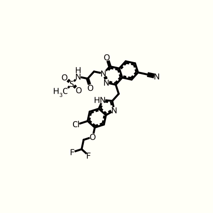 CS(=O)(=O)NC(=O)Cn1nc(Cc2nc3cc(OCC(F)F)c(Cl)cc3[nH]2)c2cc(C#N)ccc2c1=O